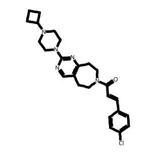 O=C(/C=C/c1ccc(Cl)cc1)N1CCc2cnc(N3CCN(C4CCC4)CC3)nc2CC1